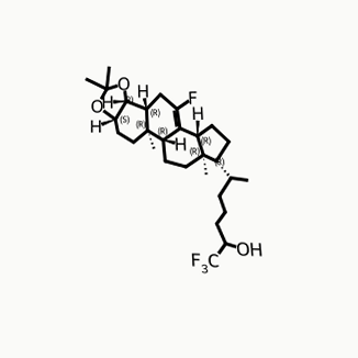 CC(CCCC(O)C(F)(F)F)[C@H]1CC[C@H]2C3=C(F)C[C@H]4[C@H]5OC(C)(C)O[C@H]5CC[C@]4(C)[C@H]3CC[C@]12C